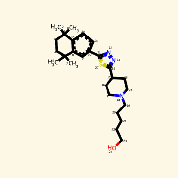 CC1(C)CCC(C)(C)c2cc(-c3nnc(C4CCN(CCCCCO)CC4)s3)ccc21